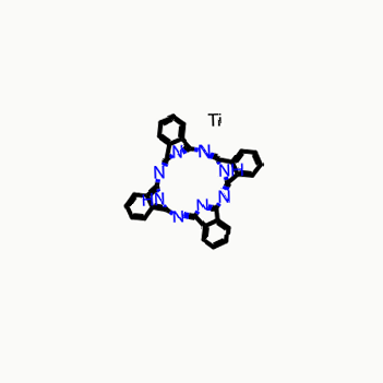 [Ti].c1ccc2c(c1)-c1nc-2nc2[nH]c(nc3nc(nc4[nH]c(n1)c1ccccc41)-c1ccccc1-3)c1ccccc21